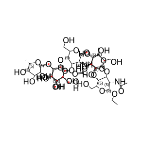 CCO[C@@H]1OC(CO)[C@@H](O[C@@H]2OC(CO)[C@H](O)C(O[C@@H]3OC(CO)[C@@H](O[C@@H]4OC(CO)[C@H](O)C(O)C4O[C@@H]4O[C@@H](C)[C@@H](O)C(O)C4O)C(O[C@@H]4OC(C)[C@@H](O)[C@H](O)C4O)[C@@H]3NC(C)=O)C2O)C(O[C@@H]2OC(C)[C@@H](O)[C@H](O)C2O)[C@@H]1NC(C)=O